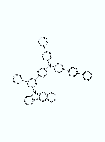 c1ccc(-c2ccc(-c3ccc(N(c4ccc(-c5ccccc5)cc4)c4ccc(-c5cc(-c6ccccc6)cc(-n6c7ccccc7c7cc8ccccc8cc76)c5)cc4)cc3)cc2)cc1